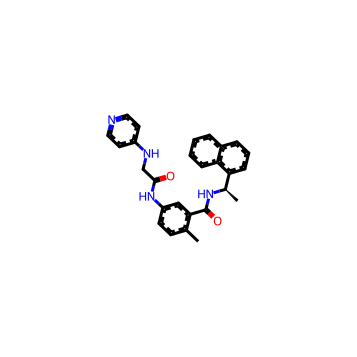 Cc1ccc(NC(=O)CNc2ccncc2)cc1C(=O)N[C@H](C)c1cccc2ccccc12